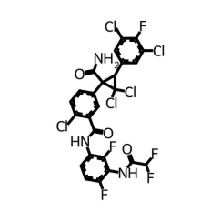 NC(=O)C1(c2ccc(Cl)c(C(=O)Nc3ccc(F)c(NC(=O)C(F)F)c3F)c2)C(c2cc(Cl)c(F)c(Cl)c2)C1(Cl)Cl